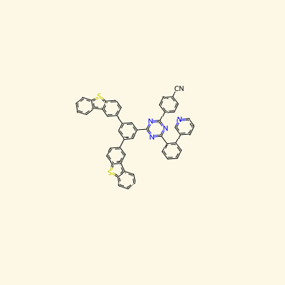 N#Cc1ccc(-c2nc(-c3cc(-c4ccc5sc6ccccc6c5c4)cc(-c4ccc5sc6ccccc6c5c4)c3)nc(-c3ccccc3-c3cccnc3)n2)cc1